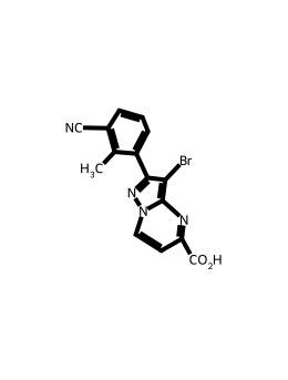 Cc1c(C#N)cccc1-c1nn2ccc(C(=O)O)nc2c1Br